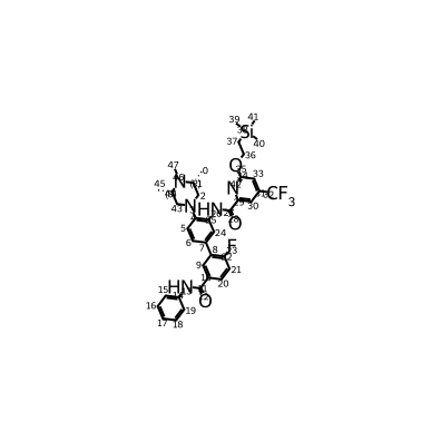 C[C@@H]1CN(c2ccc(-c3cc(C(=O)Nc4ccccc4)ccc3F)cc2NC(=O)c2cc(C(F)(F)F)cc(OCC[Si](C)(C)C)n2)C[C@H](C)N1C